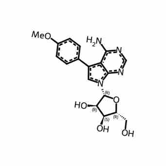 COc1ccc(-c2cn([C@@H]3O[C@H](CO)[C@@H](O)[C@H]3O)c3ncnc(N)c23)cc1